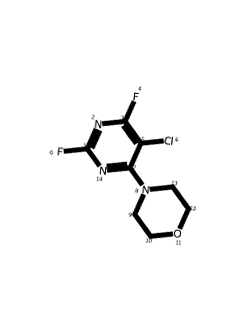 Fc1nc(F)c(Cl)c(N2CCOCC2)n1